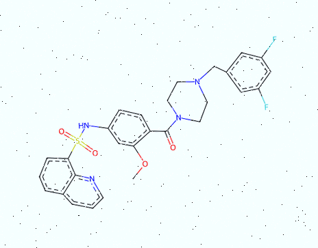 COc1cc(NS(=O)(=O)c2cccc3cccnc23)ccc1C(=O)N1CCN(Cc2cc(F)cc(F)c2)CC1